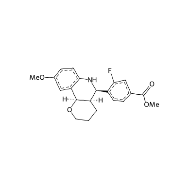 COC(=O)c1ccc([C@@H]2Nc3ccc(OC)cc3[C@@H]3OCCC[C@H]23)c(F)c1